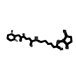 C[C@@H]1CCC[C@H](C)N1CC(=O)NCCC(=O)NCCCCCC(=O)ON1C(=O)CCC1=O